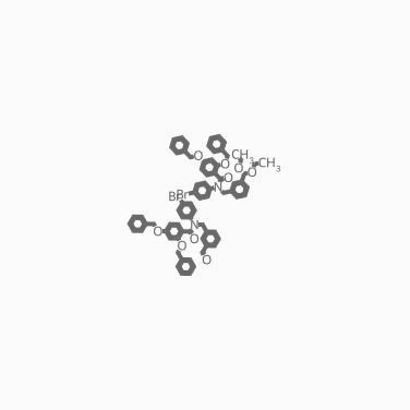 CCOC(OCC)c1cccc(CN(C(=O)c2ccc(OCc3ccccc3)cc2OCc2ccccc2)c2ccc(Br)cc2)c1.O=Cc1cccc(CN(C(=O)c2ccc(OCc3ccccc3)cc2OCc2ccccc2)c2ccc(Br)cc2)c1